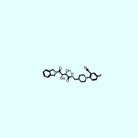 N#Cc1cc(F)ccc1N1CCC(CNC(=O)[C@H](O)[C@@H](O)C(=O)N2Cc3ccccc3C2)CC1